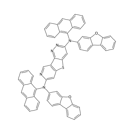 c1ccc2c(N(c3ccc4c(c3)oc3ccccc34)c3cc4sc5cc(N(c6ccc7c(c6)oc6ccccc67)c6c7ccccc7cc7ccccc67)nnc5c4cn3)c3ccccc3cc2c1